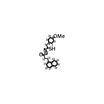 COc1ccc(C/C(S)=N/OC(=O)CCc2cccc3ccccc23)cc1